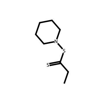 CCC(=S)SN1CCCCC1